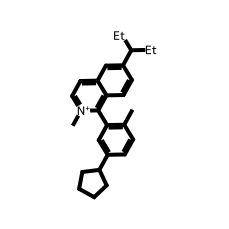 CCC(CC)c1ccc2c(-c3cc(C4CCCC4)ccc3C)[n+](C)ccc2c1